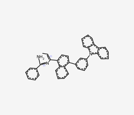 C/C=C(\N=C(/N)c1ccccc1)c1ccc(-c2cccc(-n3c4ccccc4c4ccccc43)c2)c2ccccc12